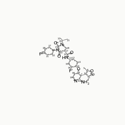 Cc1noc(C)c1-c1c(Oc2ccc(NC(=O)c3cn(C(C)C)c(=O)n(-c4ccc(F)cc4)c3=O)cc2F)ccnc1N